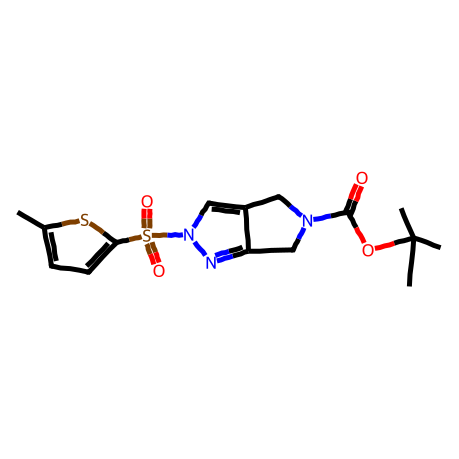 Cc1ccc(S(=O)(=O)n2cc3c(n2)CN(C(=O)OC(C)(C)C)C3)s1